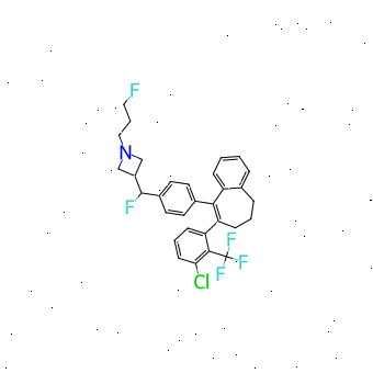 FCCCN1CC(C(F)c2ccc(C3=C(c4cccc(Cl)c4C(F)(F)F)CCCc4ccccc43)cc2)C1